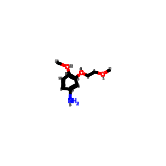 COCCOc1cc(N)ccc1OC